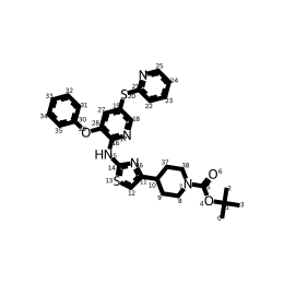 CC(C)(C)OC(=O)N1CCC(c2csc(Nc3ncc(Sc4ccccn4)cc3Oc3ccccc3)n2)CC1